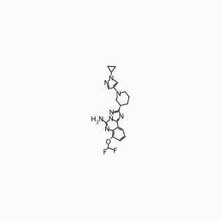 Nc1nc2c(OC(F)F)cccc2c2nc([C@@H]3CCCN(c4cnn(C5CC5)c4)C3)nn12